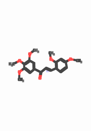 COc1ccc(/C=C/C(=O)c2cc(OC)c(OC)c(OC)c2)c(OC)c1